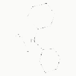 C1CCC(NC2CCCCC2)CC1.CC(C)(C)C